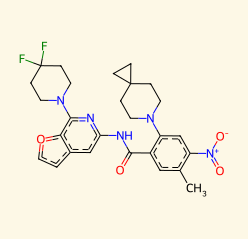 Cc1cc(C(=O)Nc2cc3ccoc3c(N3CCC(F)(F)CC3)n2)c(N2CCC3(CC2)CC3)cc1[N+](=O)[O-]